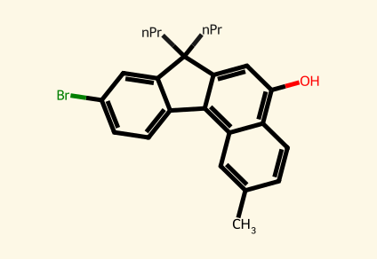 CCCC1(CCC)c2cc(Br)ccc2-c2c1cc(O)c1ccc(C)cc21